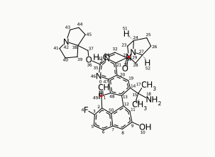 C#Cc1c(F)ccc2cc(O)cc(-c3c(C(C)(C)N)cc4c(N5C[C@H]6CC[C@@H](C5)N6C(=O)C=C)nc(OCC56CCCN5CCC6)nc4c3F)c12